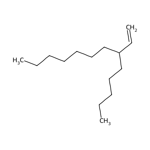 C=CC(CCCCC)CCCCCCC